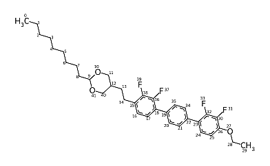 CCCCCCCCCC1OCC(CCc2ccc(-c3ccc(-c4ccc(OCC)c(F)c4F)cc3)c(F)c2F)CO1